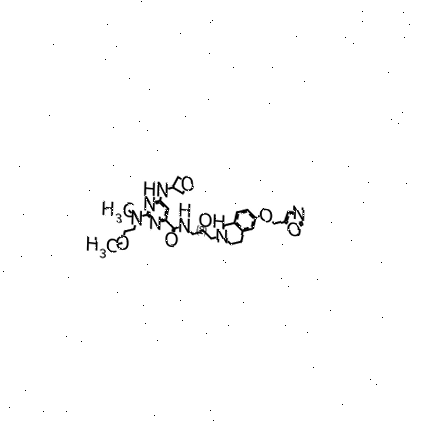 COCCN(C)c1nc(NC2COC2)cc(C(=O)NC[C@H](O)CN2CCc3cc(OCc4cnco4)ccc3C2)n1